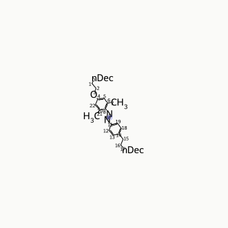 CCCCCCCCCCCCOc1cc(C)c(/N=N/c2ccc(CCCCCCCCCCCC)cc2)c(C)c1